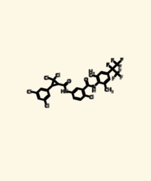 Cc1cc(C(F)(C(F)(F)F)C(F)(F)F)cc(C)c1NC(=O)c1cc(NC(=O)C2C(c3cc(Cl)cc(Cl)c3)C2(Cl)Cl)ccc1Cl